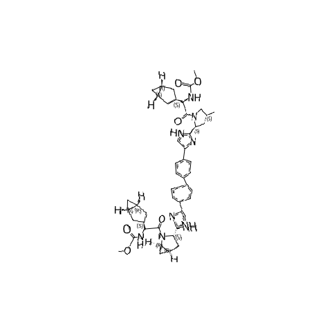 COC(=O)NC(C(=O)N1C[C@@H](C)C[C@H]1c1nc(-c2ccc(-c3ccc(-c4c[nH]c([C@@H]5C[C@H]6C[C@H]6N5C(=O)C(NC(=O)OC)[C@H]5C[C@@H]6C[C@@H]6C5)n4)cc3)cc2)c[nH]1)[C@H]1C[C@@H]2C[C@@H]2C1